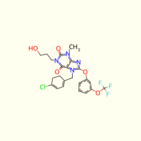 Cn1c(=O)n(CCCO)c(=O)c2c1nc(Oc1cccc(OC(F)(F)F)c1)n2CC1=CC=C(Cl)CC1